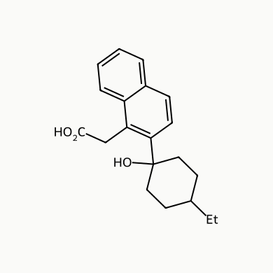 CCC1CCC(O)(c2ccc3ccccc3c2CC(=O)O)CC1